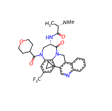 CN[C@@H](C)C(=O)N[C@H]1CN(C(=O)C2CCOCC2)c2cc(C(F)(F)F)ccc2N(Cc2c(C3CC3)cnc3ccccc23)C1=O